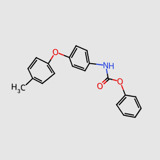 Cc1ccc(Oc2ccc(NC(=O)Oc3ccccc3)cc2)cc1